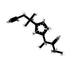 CNC(=O)N(C)c1nnc(C(C)(C)CC#N)s1